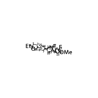 CCC1CCC(C2CCC(c3ccc(-c4ccc(OC)c(F)c4F)nc3)CC2)CO1